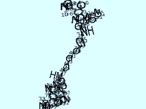 COc1cc2c(cc1-c1c(C)noc1C)ncc1c2n(Cc2ccccn2)c(=O)n1CC(=O)NCCOCCOCCOCCOCCNC(=O)Cn1c(=O)n(C(C)c2ccccn2)c2c3cc(OC)c(-c4c(C)noc4C)cc3ncc21